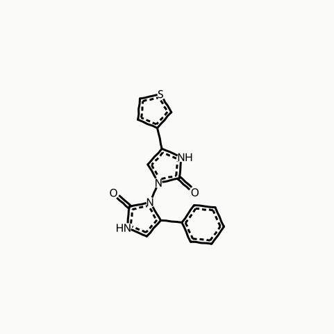 O=c1[nH]c(-c2ccsc2)cn1-n1c(-c2ccccc2)c[nH]c1=O